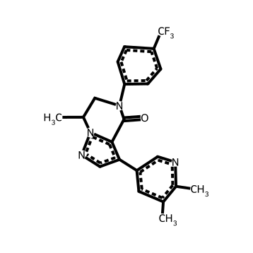 Cc1cc(-c2cnn3c2C(=O)N(c2ccc(C(F)(F)F)cc2)CC3C)cnc1C